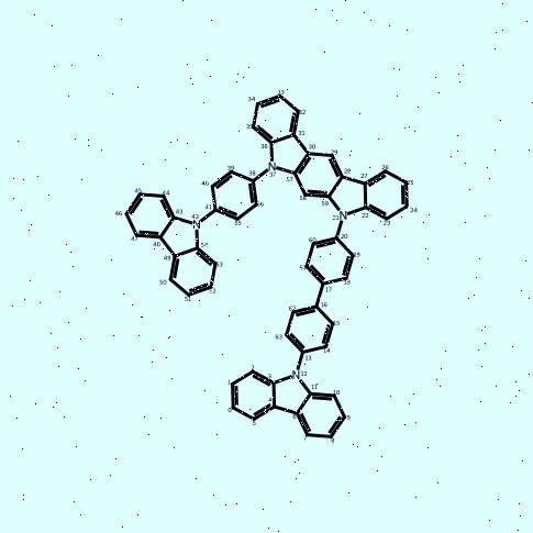 c1ccc2c(c1)c1ccccc1n2-c1ccc(-c2ccc(-n3c4ccccc4c4cc5c6ccccc6n(-c6ccc(-n7c8ccccc8c8ccccc87)cc6)c5cc43)cc2)cc1